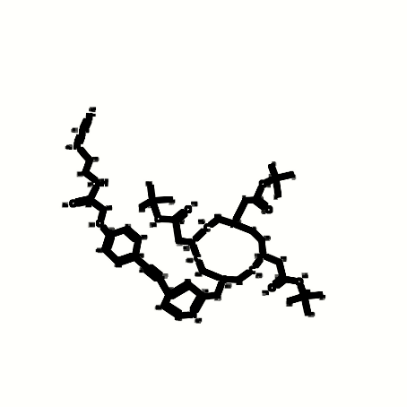 CC(C)(C)OC(=O)CN1CCN(CC(=O)OC(C)(C)C)CCN(Cc2cc(C#Cc3ccc(OCC(=O)NCCN=[N+]=[N-])cc3)ccn2)CCN(CC(=O)OC(C)(C)C)CC1